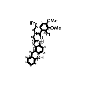 COc1ccc(C(=O)N(CCC(C)C)Cc2nc3c(Cc4ccccc4O)cccc3[nH]2)c(Cl)c1OC